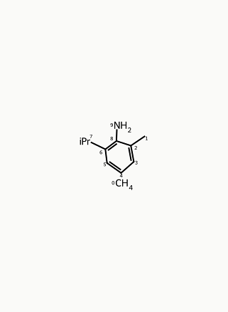 C.Cc1cccc(C(C)C)c1N